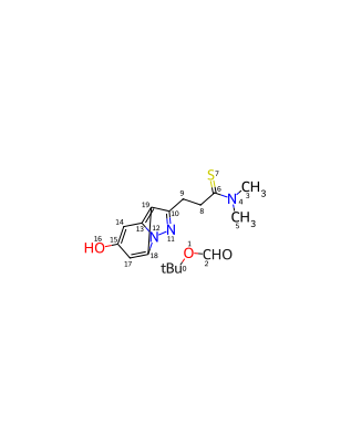 CC(C)(C)OC=O.CN(C)C(=S)CCc1nn2c3cc(O)cc2c13